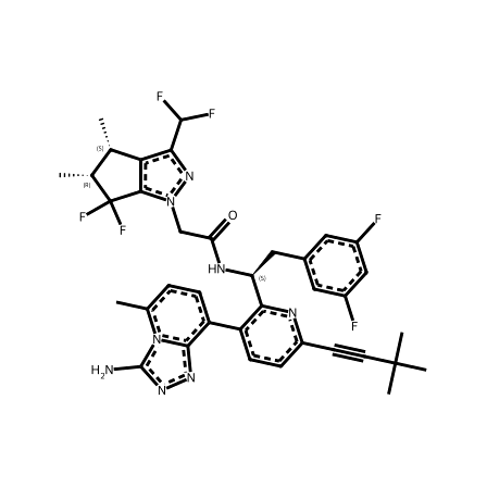 Cc1ccc(-c2ccc(C#CC(C)(C)C)nc2[C@H](Cc2cc(F)cc(F)c2)NC(=O)Cn2nc(C(F)F)c3c2C(F)(F)[C@H](C)[C@@H]3C)c2nnc(N)n12